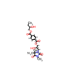 CCC(O)COC(=O)c1ccc(C(=O)OCC(O)CN2C(=O)N(C)C(=O)C2(C)C)cc1